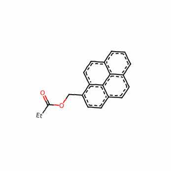 CCC(=O)OCc1ccc2ccc3cccc4ccc1c2c34